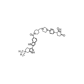 CC1(C)CCc2c(-c3cc4ccc(C(=O)N5CCC(CN6CCN(c7ccc(C8CCC(=O)NC8=O)cn7)CC6)CC5)cc4[nH]3)n[nH]c2C1